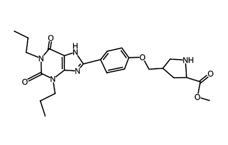 CCCn1c(=O)c2[nH]c(-c3ccc(OCC4CNC(C(=O)OC)C4)cc3)nc2n(CCC)c1=O